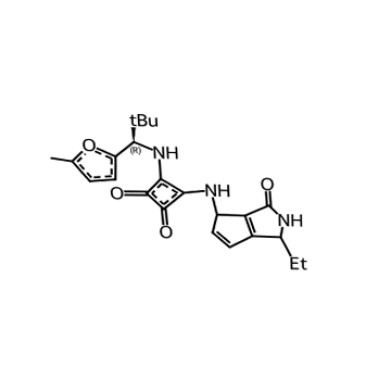 CCC1NC(=O)C2=C1C=CC2Nc1c(N[C@@H](c2ccc(C)o2)C(C)(C)C)c(=O)c1=O